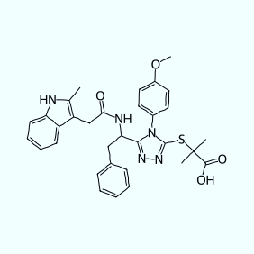 COc1ccc(-n2c(SC(C)(C)C(=O)O)nnc2C(Cc2ccccc2)NC(=O)Cc2c(C)[nH]c3ccccc23)cc1